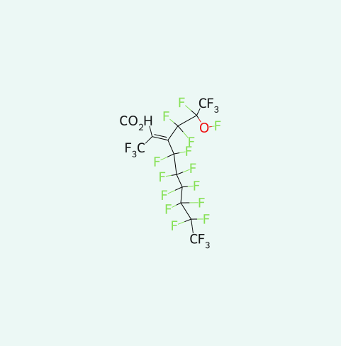 O=C(O)C(=C(C(F)(F)C(F)(F)C(F)(F)C(F)(F)C(F)(F)C(F)(F)F)C(F)(F)C(F)(OF)C(F)(F)F)C(F)(F)F